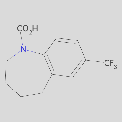 O=C(O)N1CCCCc2cc(C(F)(F)F)ccc21